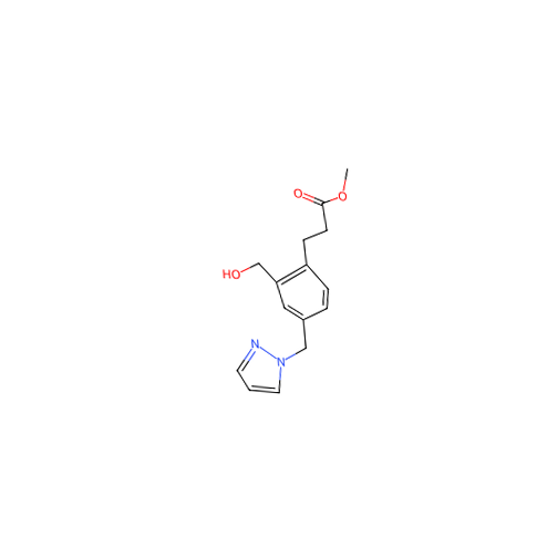 COC(=O)CCc1ccc(Cn2cccn2)cc1CO